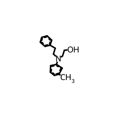 Cc1cccc(N(CCO)CCc2ccccc2)c1